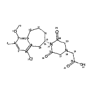 COc1c(C)cc(Cl)c2c1CCC[C@H](N1C(=O)CN(CC(=O)O)CC1=O)C2